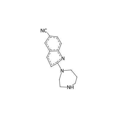 N#Cc1ccc2nc(N3CCCNCC3)ccc2c1